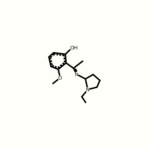 CCN1CCCC1/N=C(\C)c1c(O)cccc1OC